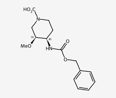 CO[C@H]1CN(C(=O)O)CC[C@H]1NC(=O)OCc1ccccc1